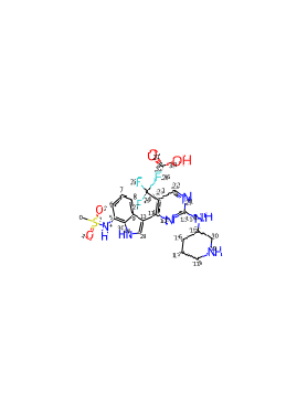 CS(=O)(=O)Nc1cccc2c(-c3nc(NC4CCCNC4)ncc3C(F)(F)F)c[nH]c12.O=CO